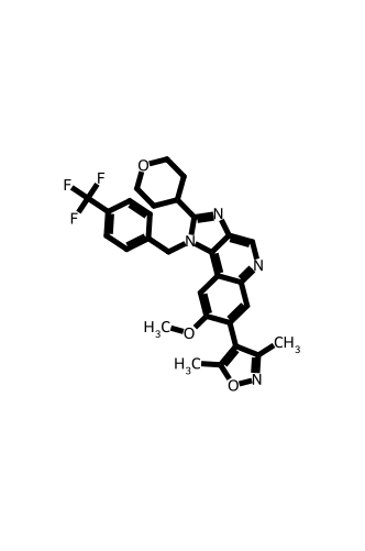 COc1cc2c(cc1-c1c(C)noc1C)ncc1nc(C3CCOCC3)n(Cc3ccc(C(F)(F)F)cc3)c12